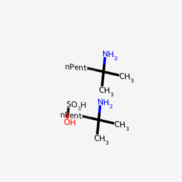 CCCCCC(C)(C)N.CCCCCC(C)(C)N.O=S(=O)(O)O